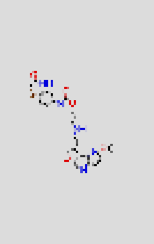 COc1ccc2ncc3c(c2n1)[C@H](CCNCCC1CN(c2ccc4c(c2)NC(=O)CS4)C(=O)O1)CO3